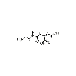 NCCNC(=O)C/C(=C/C(=O)O)C(=O)O